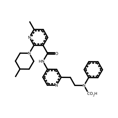 Cc1ccc(C(=O)Nc2ccnc(CCN(C(=O)O)c3ccccc3)c2)c(N2CCC(C)CC2)n1